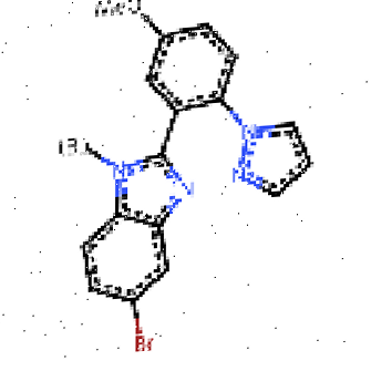 COc1ccc(-n2cccn2)c(-c2nc3cc(Br)ccc3n2C(C)(C)C)c1